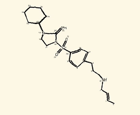 C/C=C/CNCCc1ccc(S(=O)(=O)N2CCN(C3CCCCC3)C2=N)cc1